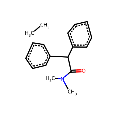 CC.CN(C)C(=O)C(c1ccccc1)c1ccccc1